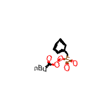 CCCCC(=O)OOS(=O)(=O)Cc1ccccc1